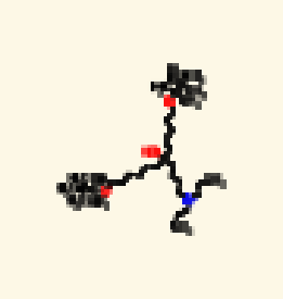 CCCN(CCC)CCCCC(O)(CCCCCCO[Si](C)(C)C(C)(C)C)CCCCCO[Si](C)(C)C(C)(C)C